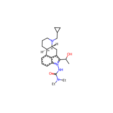 CCN(CC)C(=O)Nn1c(C(C)O)c2c3c(cccc31)[C@H]1CCCN(CC3CC3)[C@@H]1C2